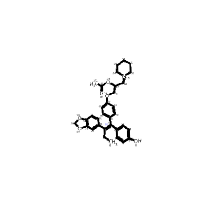 CC/C(=C(\c1ccc(O)cc1)c1ccc(OCC(CN2CCCCC2)OC(C)=O)cc1)c1ccc2c(c1)OCO2